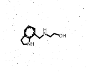 OCCNCc1cccc2c1NCC2